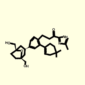 Cc1c[nH]c(C(=O)CCc2ccc([C@@H]3C[C@]4(CO)CC[C@](CO)(C3)O4)cc2C2=CCC(C)(C)CC2)n1